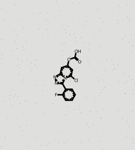 O=C(O)Oc1cc(Cl)n2c(-c3ccccc3F)nnc2c1